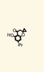 CC(C)c1cc(O)c2c(c1)OC1(CC1)CC2=O